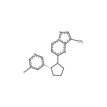 Cc1cnn2ccc(N3CCC[C@@H]3c3cncc(F)c3)nc12